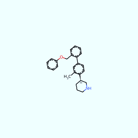 Cc1cc(-c2ccccc2COc2ccccc2)ccc1[C@@H]1CCCNC1